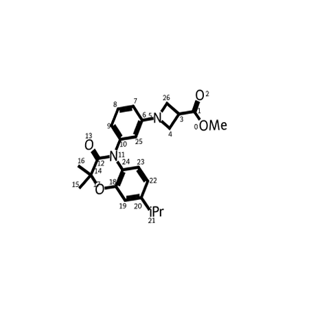 COC(=O)C1CN(c2cccc(N3C(=O)C(C)(C)Oc4cc(C(C)C)ccc43)c2)C1